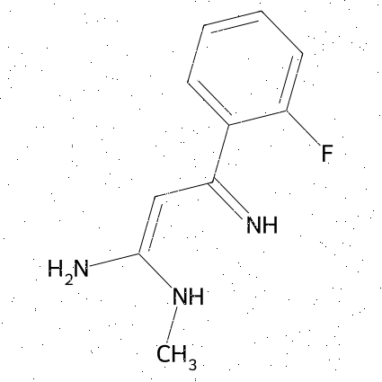 CN/C(N)=C\C(=N)c1ccccc1F